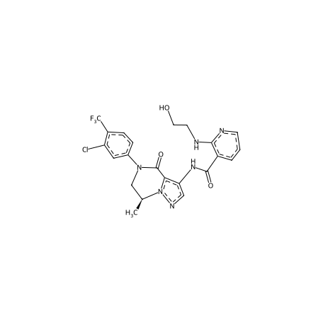 C[C@H]1CN(c2ccc(C(F)(F)F)c(Cl)c2)C(=O)c2c(NC(=O)c3cccnc3NCCO)cnn21